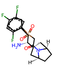 N[C@H](Cc1cc(F)c(F)cc1F)[C@@H]1C[C@H]2CC[C@@H](C1)N2C(=O)CS(=O)(=O)C1CCCC1